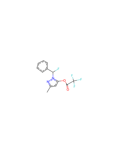 Cc1cc(OC(=O)C(F)(F)F)n(C(F)c2ccccc2)n1